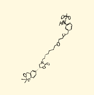 CC1(C)OCc2cc([C@@H]3CN(CCCCCCCOCCOCc4cccc(NS(C)(=O)=O)c4)C(=O)O3)ccc2O1